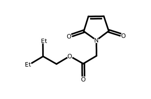 CCC(CC)COC(=O)CN1C(=O)C=CC1=O